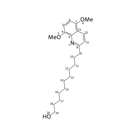 COc1ccc(OC)c2nc(CCCCCCCCCCCO)ccc12